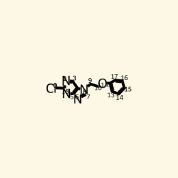 Clc1ncc2c(ncn2CCOc2ccccc2)n1